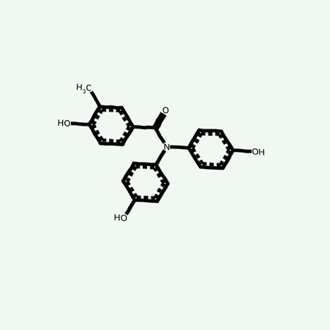 Cc1cc(C(=O)N(c2ccc(O)cc2)c2ccc(O)cc2)ccc1O